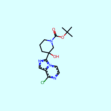 CC(C)(C)OC(=O)N1CCCC(O)(c2ncc3c(Cl)nccn23)C1